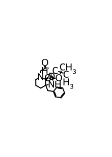 CC(C)(C)OC(=O)NC1(Cc2ccccc2)CCCN(C[C]=O)C1=O